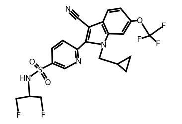 N#Cc1c(-c2ccc(S(=O)(=O)NC(CF)CF)cn2)n(CC2CC2)c2cc(OC(F)(F)F)ccc12